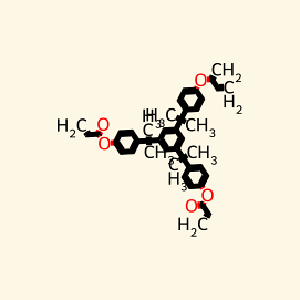 C=CC(=C)Oc1ccc(C(C)(C)c2cc(C(C)(C)c3ccc(OC(=O)C=C)cc3)cc(C(C)(C)c3ccc(OC(=O)C=C)cc3)c2)cc1